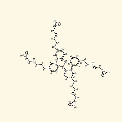 c1cc(C(c2ccc(CCCOCC3CO3)cc2)C(c2ccc(CCCOCC3CO3)cc2)c2ccc(CCCOCC3CO3)cc2)ccc1CCCOCC1CO1